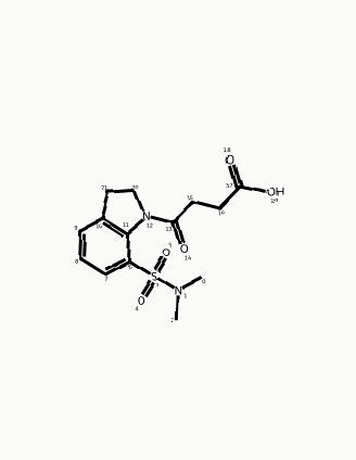 CN(C)S(=O)(=O)c1cccc2c1N(C(=O)CCC(=O)O)CC2